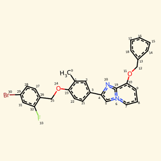 Cc1cc(-c2cn3cccc(OCc4ccccc4)c3n2)ccc1OCc1ccc(Br)cc1F